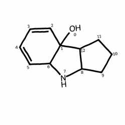 OC12C=CC=CC1NC1CCCC12